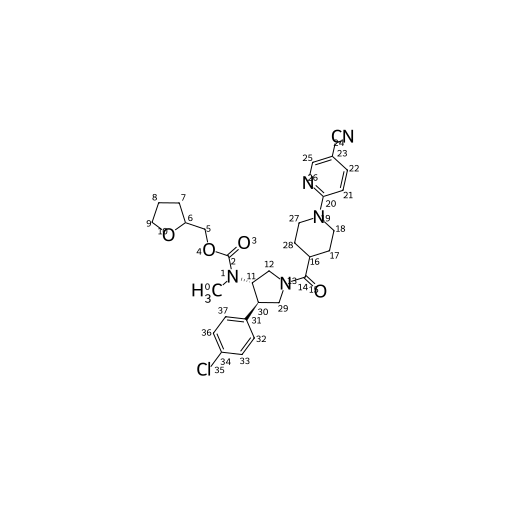 CN(C(=O)OCC1CCCO1)[C@@H]1CN(C(=O)C2CCN(c3ccc(C#N)cn3)CC2)C[C@H]1c1ccc(Cl)cc1